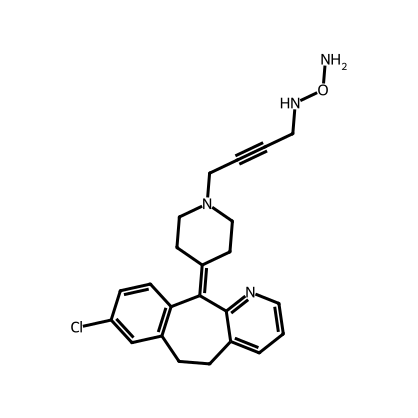 NONCC#CCN1CCC(=C2c3ccc(Cl)cc3CCc3cccnc32)CC1